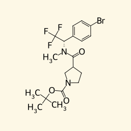 CN(C(=O)C1CCN(C(=O)OC(C)(C)C)C1)[C@@H](c1ccc(Br)cc1)C(F)(F)F